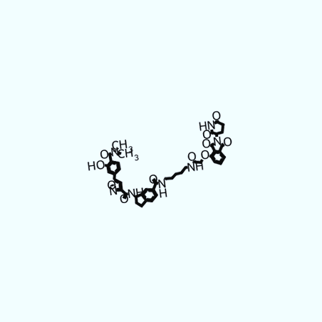 CN(C)C(=O)c1ccc(-c2cc(C(=O)N[C@@H]3CCc4ccc(C(=O)NCCCCCNC(=O)COc5cccc6c5C(=O)N(C5CCC(=O)NC5=O)C6=O)cc43)no2)cc1O